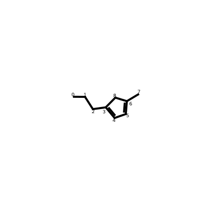 CCCC1=CC=C(C)C1